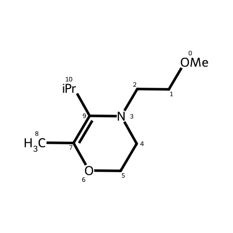 COCCN1CCOC(C)=C1C(C)C